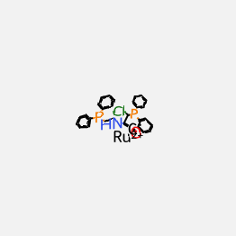 O=C=C(NCCP(c1ccccc1)c1ccccc1)C(Cl)P(c1ccccc1)c1ccccc1.[Ru+2]